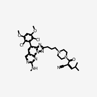 CNc1ncc2cc(-c3c(Cl)c(OC)cc(OC)c3Cl)c3nc(CCCN4CCN(C(=O)/C(C#N)=C\C(C)C)CC4)nn3c2n1